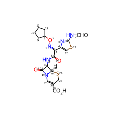 O=CNc1nc(C(=NOC2CCCC2)C(=O)NC2C(=O)N3C=C(C(=O)O)CS[C@H]23)cs1